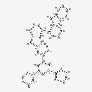 c1ccc(-c2nc(-c3ccccc3)nc(-c3ccc4c(c3)sc3cccc(-c5cccc6c5sc5ccccc56)c34)n2)cc1